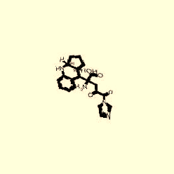 NC(CC(=O)C(=O)n1ccnc1)(C(=O)O)C1c2ccccc2N[C@@H]2CCC[C@H]12